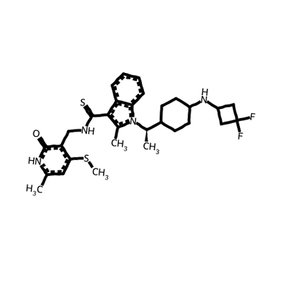 CSc1cc(C)[nH]c(=O)c1CNC(=S)c1c(C)n([C@H](C)C2CCC(NC3CC(F)(F)C3)CC2)c2ccccc12